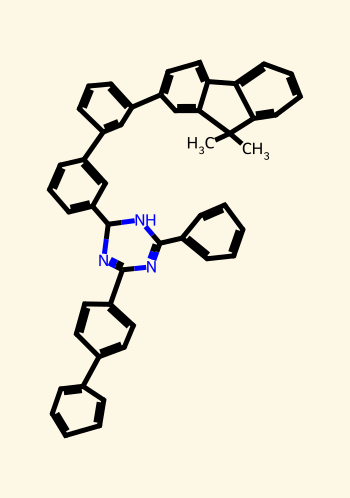 CC1(C)c2ccccc2-c2ccc(-c3cccc(-c4cccc(C5N=C(c6ccc(-c7ccccc7)cc6)N=C(c6ccccc6)N5)c4)c3)cc21